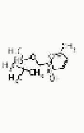 C[C@@H]1C=C[C@H](O)[C@@H](CO[SiH](C)C(C)(C)C)O1